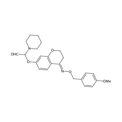 COc1ccc(CON=C2CCOc3cc(OC(C=O)N4CCCCC4)ccc32)cc1